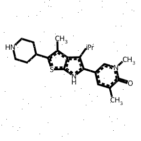 Cc1cc(-c2[nH]c3sc(C4CCNCC4)c(C)c3c2C(C)C)cn(C)c1=O